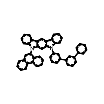 c1ccc(-c2cccc(-c3cccc(-n4c5ccccc5c5cc6c7ccccc7n(-c7cc8ccccc8c8ccccc78)c6cc54)c3)c2)cc1